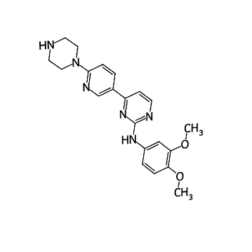 COc1ccc(Nc2nccc(-c3ccc(N4CCNCC4)nc3)n2)cc1OC